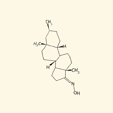 C[C@H]1CC[C@@H]2C3CC[C@]4(C)/C(=N/O)CCC4[C@@H]3CC[C@]2(C)C1